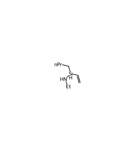 C=C[SiH](CCCC)NCC